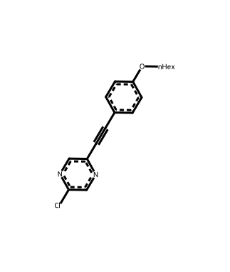 CCCCCCOc1ccc(C#Cc2cnc(Cl)cn2)cc1